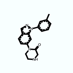 Cc1cccc(-n2ncc3ccc(N4CCNCC4=O)cc32)c1